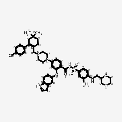 Cc1cc(S(=O)(=O)NC(=O)c2ccc(N3CCN(CC4=C(c5ccc(Cl)cc5)CC(C)(C)CC4)CC3)cc2Oc2ccc3[nH]ccc3c2)ccc1NCC1COCCO1